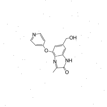 Cc1nc2c(Oc3ccncc3)cc(CO)cc2[nH]c1=O